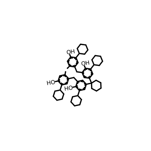 Cc1cc(O)c(C2CCCCC2)cc1Cc1cc(C2(c3cc(Cc4cc(C5CCCCC5)c(O)cc4C)c(O)c(C4CCCCC4)c3)CCCCC2)cc(C2CCCCC2)c1O